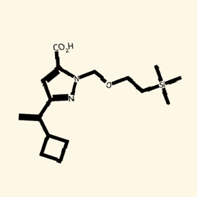 C=C(c1cc(C(=O)O)n(COCC[Si](C)(C)C)n1)C1CCC1